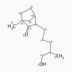 CC(CO)CCCC1C(=O)C2(C)CCC1C2